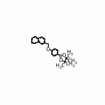 CC1(C)OB(c2ccc(OCc3ccc4ccccc4c3)cc2)OC1(C)C